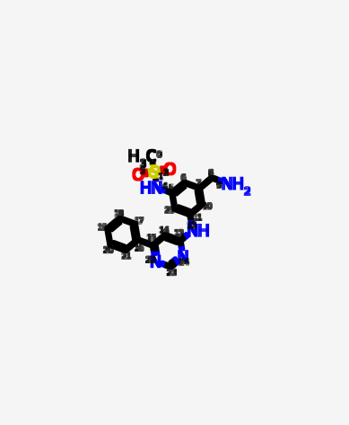 CS(=O)(=O)Nc1cc(CN)cc(Nc2cc(-c3ccccc3)ncn2)c1